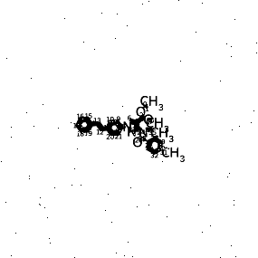 CCOC(=O)c1cn(-c2ccc(C=Cc3ccccc3)cc2)nc1N(C(=O)[C@H]1CC[C@H](C)CC1)C(C)C